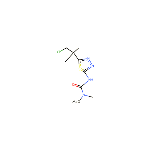 CON(C)C(=O)Nc1nnc(C(C)(C)CCl)s1